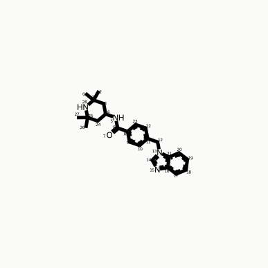 CC1(C)CC(NC(=O)c2ccc(Cn3cnc4ccccc43)cc2)CC(C)(C)N1